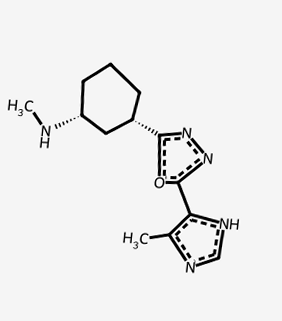 CN[C@@H]1CCC[C@H](c2nnc(-c3[nH]cnc3C)o2)C1